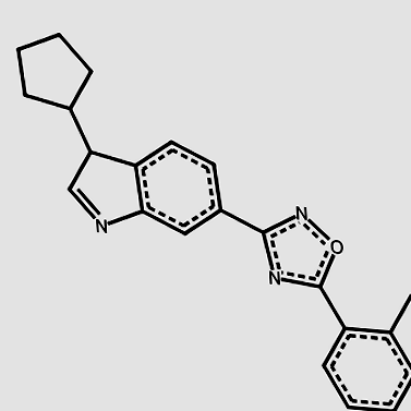 Cc1ccccc1-c1nc(-c2ccc3c(c2)N=CC3C2CCCC2)no1